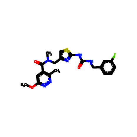 COc1cc(C(=O)N(C)Cc2csc(NC(=O)NCc3cccc(F)c3)n2)c(C)nn1